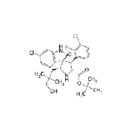 CC(C)(CO)C[C@@H]1N[C@@H](C(=O)OC(C)(C)C)[C@H](c2cccc(Cl)c2F)[C@]12C(=O)Nc1cc(Cl)ccc12